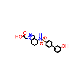 O=C(O)Cn1ncc2c1CCCC2NS(=O)(=O)c1ccc(-c2cccc(O)c2)cc1